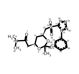 CCC1(C)O[C@@H](CC(=O)N(C)C)C[C@@H](CS(=O)(=O)c2nnnn2-c2ccccc2)O1